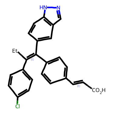 CC/C(=C(/c1ccc(/C=C/C(=O)O)cc1)c1ccc2[nH]ncc2c1)c1ccc(Cl)cc1